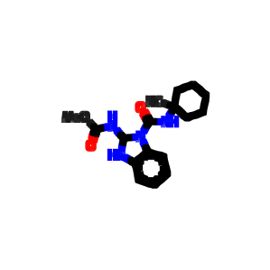 COC(=O)NC1Nc2ccccc2N1C(=O)NC1(C#N)CCCCC1